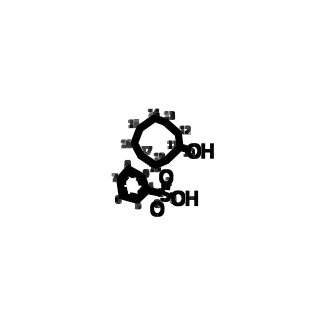 O=S(=O)(O)c1ccccc1.OC1CCCCCCCC1